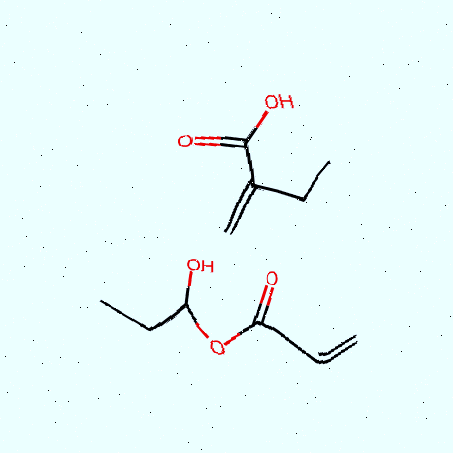 C=C(CC)C(=O)O.C=CC(=O)OC(O)CC